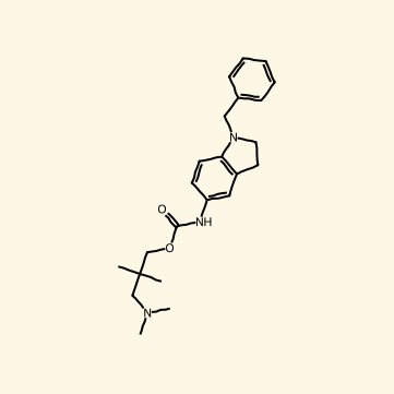 CN(C)CC(C)(C)COC(=O)Nc1ccc2c(c1)CCN2Cc1ccccc1